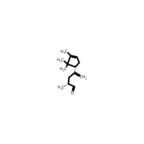 C=C(C[C@@H](C)C=O)[C@H]1CC=C(C)C1(C)C